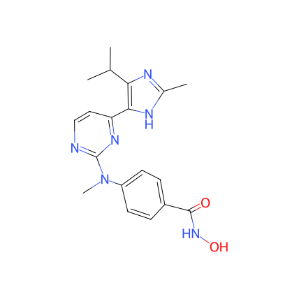 Cc1nc(C(C)C)c(-c2ccnc(N(C)c3ccc(C(=O)NO)cc3)n2)[nH]1